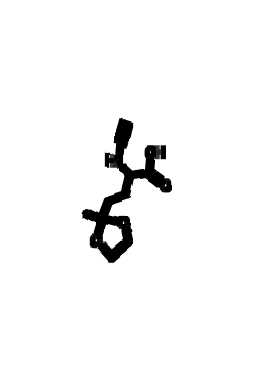 C#CNC(CCC1(C)OCCO1)C(=O)O